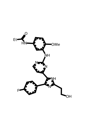 CCC(=O)Nc1ccc(OC)c(Nc2nccc(-c3[nH]c(CCO)nc3-c3ccc(F)cc3)n2)c1